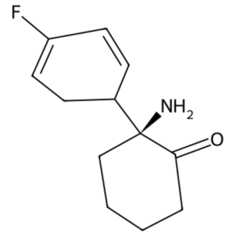 N[C@]1(C2C=CC(F)=CC2)CCCCC1=O